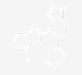 Fc1cccn2nc([C@@H]3c4nc[nH]c4CCN3c3cnccn3)cc12